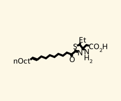 CCCCCCCCC=CCCCCCCCC(=O)C1=NC(N)(CC(=O)O)C(CC)S1